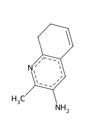 Cc1nc2c(cc1N)C=CCC2